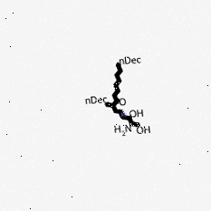 CCCCCCCCCCCCCCCCCC(=O)C(C/C=C/[C@@H](O)[C@@H](N)CO)CCCCCCCCCCC